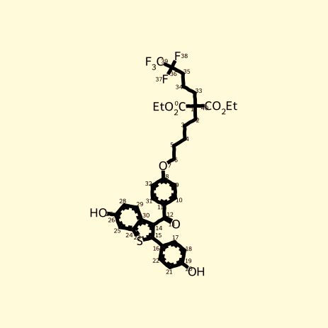 CCOC(=O)C(CCCCCOc1ccc(C(=O)c2c(-c3ccc(O)cc3)sc3cc(O)ccc23)cc1)(CCCC(F)(F)C(F)(F)F)C(=O)OCC